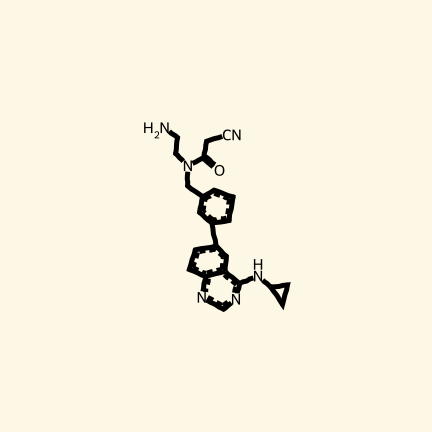 N#CCC(=O)N(CCN)Cc1cccc(-c2ccc3ncnc(NC4CC4)c3c2)c1